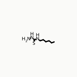 CCCCCCNC(=S)NN